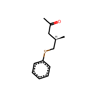 CC(=O)C[C@@H](C)CSc1ccccc1